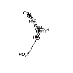 O=C(O)CCCCCCCCCCCCCCCCCCC(=O)NCC1CCC(C(=O)N[C@@H](CCC(=O)NCCOCCOCC(=O)NCCOCCOCC(=O)Oc2ccc(Cl)cc2Cl)C(=O)O)CC1